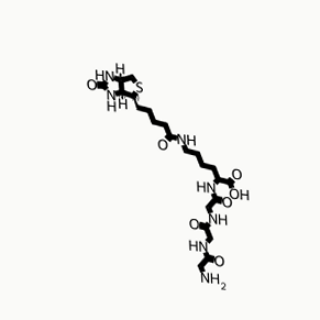 NCC(=O)NCC(=O)NCC(=O)NC(CCCCNC(=O)CCCC[C@@H]1SC[C@@H]2NC(=O)N[C@@H]21)C(=O)O